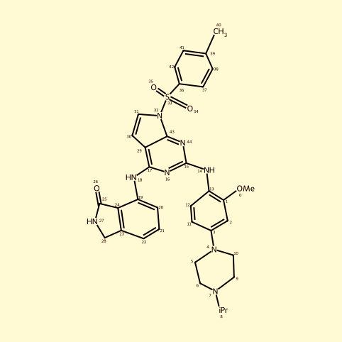 COc1cc(N2CCN(C(C)C)CC2)ccc1Nc1nc(Nc2cccc3c2C(=O)NC3)c2ccn(S(=O)(=O)c3ccc(C)cc3)c2n1